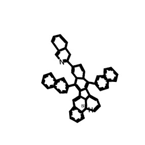 C1=CC2=CN=C(C3=CC4C(c5ccc6ccccc6c5)=C5C6=Cc7ccccc7[C@H]7C=CC=C(C5=C(c5ccc8ccccc8c5)C4C=C3)C67)CC2C=C1